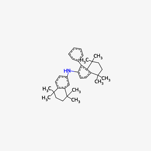 CC1(C)CCC(C)(C)c2cc(Nc3ccc4c(c3-c3ccccc3)C(C)(C)CCC4(C)C)ccc21